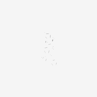 N#Cc1cnc2c(NC(c3ccc(F)cc3)c3csnn3)cc(Cl)cc2c1Nc1ccc(F)c(Cl)c1